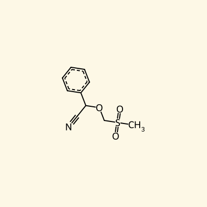 CS(=O)(=O)COC(C#N)c1ccccc1